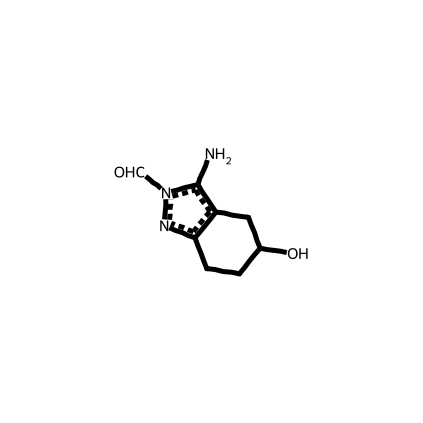 Nc1c2c(nn1C=O)CCC(O)C2